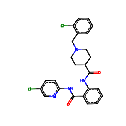 O=C(Nc1ccc(Cl)cn1)c1ccccc1NC(=O)C1CCN(Cc2ccccc2Cl)CC1